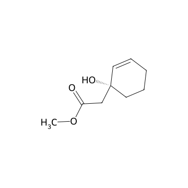 COC(=O)C[C@@]1(O)C=CCCC1